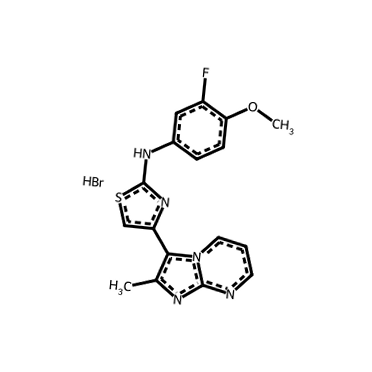 Br.COc1ccc(Nc2nc(-c3c(C)nc4ncccn34)cs2)cc1F